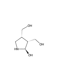 OC[C@H]1CN[C@H](O)[C@H]1CO